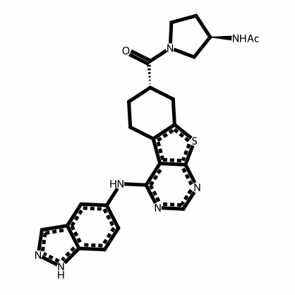 CC(=O)N[C@@H]1CCN(C(=O)[C@H]2CCc3c(sc4ncnc(Nc5ccc6[nH]ncc6c5)c34)C2)C1